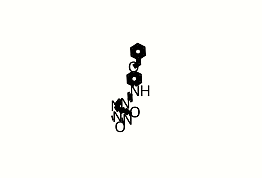 Cn1c(=O)c2c(ncn2CCNc2ccc(OCc3ccccc3)cc2)n(C)c1=O